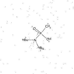 CCCCN(CCCC)P(C)(=O)O